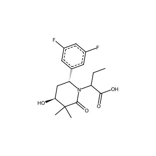 CCC(C(=O)O)N1C(=O)C(C)(C)[C@@H](O)C[C@@H]1c1cc(F)cc(F)c1